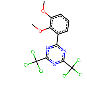 COc1cccc(-c2nc(C(Cl)(Cl)Cl)nc(C(Cl)(Cl)Cl)n2)c1OC